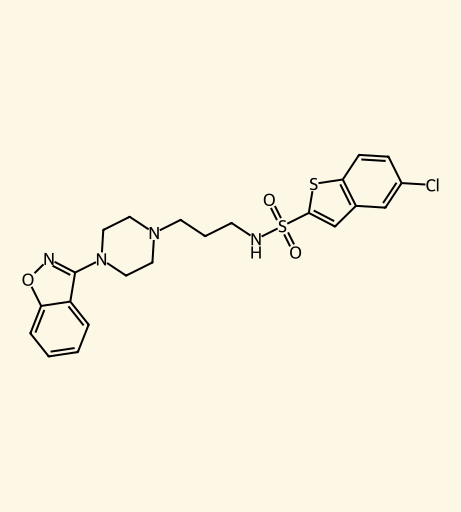 O=S(=O)(NCCCN1CCN(c2noc3ccccc23)CC1)c1cc2cc(Cl)ccc2s1